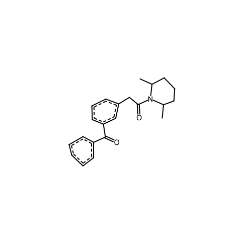 CC1CCCC(C)N1C(=O)Cc1cccc(C(=O)c2ccccc2)c1